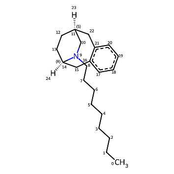 CCCCCCCCCN1C[C@H]2CC[C@@H]1Cc1ccccc1C2